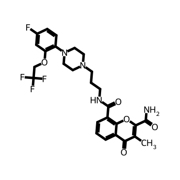 Cc1c(C(N)=O)oc2c(C(=O)NCCCN3CCN(c4ccc(F)cc4OCC(F)(F)F)CC3)cccc2c1=O